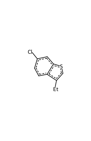 [CH2]Cc1csc2cc(Cl)ccc12